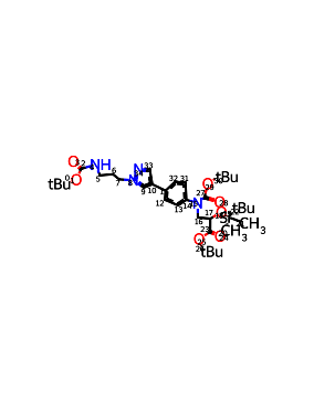 CC(C)(C)OC(=O)NCCCn1cc(-c2ccc(N(CC(O[Si](C)(C)C(C)(C)C)C(=O)OC(C)(C)C)C(=O)OC(C)(C)C)cc2)cn1